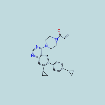 C=CC(=O)N1CCN(c2ncnc3cc(C4CC4)c(-c4ccc(C5CC5)cc4)cc23)CC1